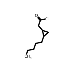 CCCCCC1CC1CC(=O)Cl